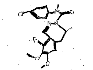 COc1cc2c(c(F)c1OC)C=NN(C(=O)N(C)c1ccc(Cl)cc1)[C@H](C)C2